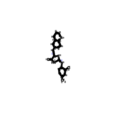 O=C1N/C(=N\c2ccc(C(F)(F)F)cc2Cl)S/C1=C\c1ccc2ncccc2c1